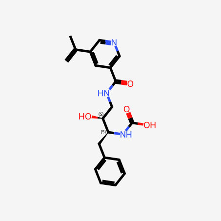 C=C(C)c1cncc(C(=O)NC[C@H](O)[C@H](Cc2ccccc2)NC(=O)O)c1